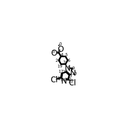 COC(=O)C1CCC(n2cnc3c(Cl)nc(Cl)cc32)CC1